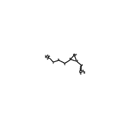 C=CC1OC1CCCC